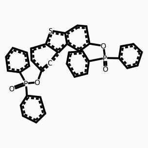 O=P(Oc1ccc2sc3ccc(OP(=O)(c4ccccc4)c4ccccc4)cc3c2c1)(c1ccccc1)c1ccccc1